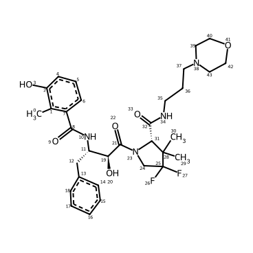 Cc1c(O)cccc1C(=O)N[C@@H](Cc1ccccc1)[C@H](O)C(=O)N1CC(F)(F)C(C)(C)[C@H]1C(=O)NCCCN1CCOCC1